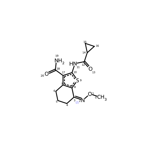 CO/N=C1/CCCc2c1sc(NC(=O)C1CC1)c2C(N)=O